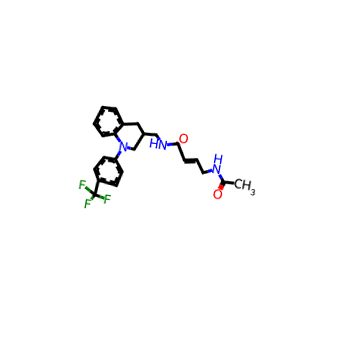 CC(=O)NCC=CC(=O)NCC1Cc2ccccc2N(c2ccc(C(F)(F)F)cc2)C1